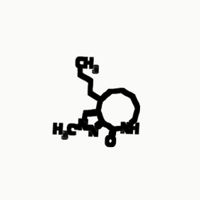 CCCCC1CCCCCNC(=O)c2nn(C)cc21